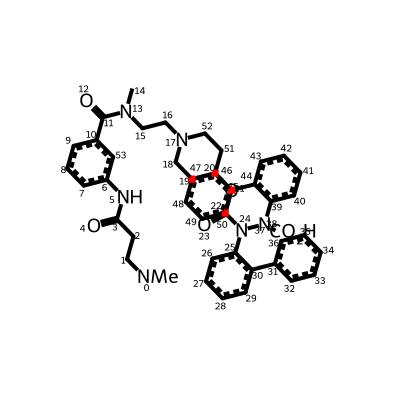 CNCCC(=O)Nc1cccc(C(=O)N(C)CCN2CCC(OC(=O)N(c3ccccc3-c3ccccc3)N(C(=O)O)c3ccccc3-c3ccccc3)CC2)c1